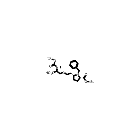 CC(C)(C)OC(=O)NC(CSCC[C@H]1CC[C@@H](C(=O)OC(C)(C)C)N1Cc1ccccc1)C(=O)O